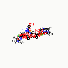 CCCC1CC(C(=O)NC(C(C)Cl)C2OC(SC)C(O)C(OC(=O)c3cc(=O)c4c(OCC(COc5cccc6oc(C(=O)OC7C(O)C(SC)OC(C(NC(=O)C8CC(CCC)CN8C)C(C)Cl)C7O)cc(=O)c56)OC(=O)C5N6C(=O)C(NC(=O)C(N)c7ccc(O)cc7)C6SC5(C)C)cccc4o3)C2O)N(C)C1